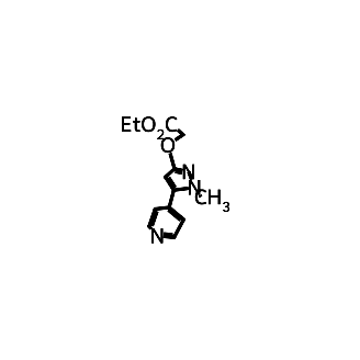 CCOC(=O)COc1cc(-c2ccncc2)n(C)n1